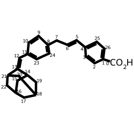 O=C(O)c1ccc(C=CCc2ccc(C=C3C4CC5CC(C4)CC3C5)cc2)cc1